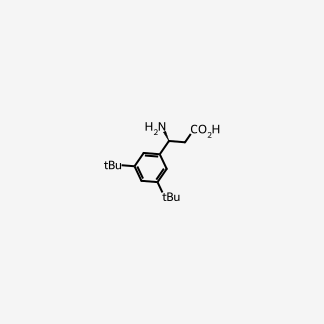 CC(C)(C)c1cc([C@@H](N)CC(=O)O)cc(C(C)(C)C)c1